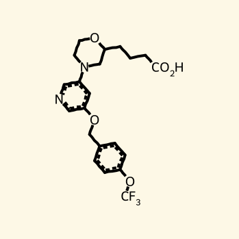 O=C(O)CCCC1CN(c2cncc(OCc3ccc(OC(F)(F)F)cc3)c2)CCO1